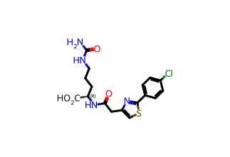 NC(=O)NCCC[C@@H](NC(=O)Cc1csc(-c2ccc(Cl)cc2)n1)C(=O)O